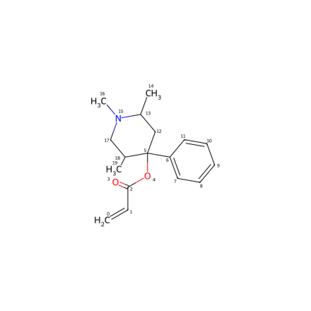 C=CC(=O)OC1(c2ccccc2)CC(C)N(C)CC1C